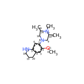 COc1cc2c(cc1N1CC(C)N(C)C(C)C1)NCCC2